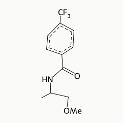 COCC(C)NC(=O)c1ccc(C(F)(F)F)cc1